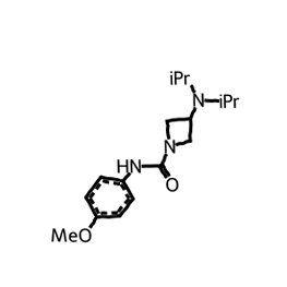 COc1ccc(NC(=O)N2CC(N(C(C)C)C(C)C)C2)cc1